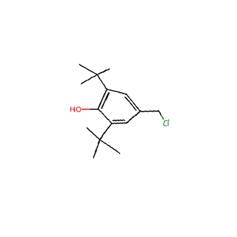 CC(C)(C)c1cc(CCl)cc(C(C)(C)C)c1O